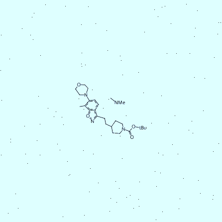 CNC.Cc1c(N2CCOCC2)ccc2c(CCC3CCN(C(=O)OC(C)(C)C)CC3)noc12